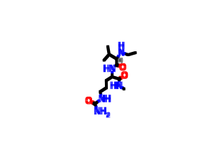 CCN[C@@H](C(=O)NC(CCCNC(N)=O)C(=O)NC)C(C)C